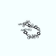 CCCN(CCC)C(=O)C1=Cc2ccc(C(=O)Nc3cnc4c(c3)CN(Cc3ccc(C(=O)NCCNC(=O)OCc5ccc(NC=O)cc5)cc3)CC4)cc2N=C(N)C1